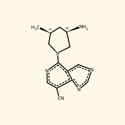 C[C@H]1C[C@@H](N)CN(c2ncc(C#N)c3ncncc23)C1